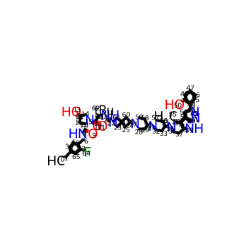 C#Cc1ccc(CNC(=O)[C@@H]2C[C@@H](O)CN2C(=O)[C@@H](NC(=O)N2CC3(CC(N4CCC(N5CCC(N6CCc7[nH]c8nnc(-c9ccccc9O)cc8c7[C@@H]6C)CC5)CC4)C3)C2)C(C)(C)C)c(F)c1